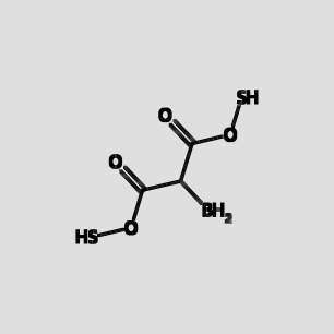 BC(C(=O)OS)C(=O)OS